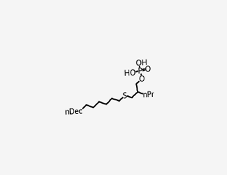 CCCCCCCCCCCCCCCCSCC(CCC)COP(=O)(O)O